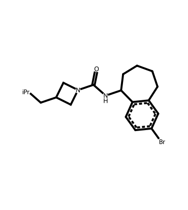 CC(C)CC1CN(C(=O)NC2CCCCc3cc(Br)ccc32)C1